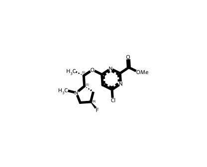 COC(=O)c1nc(Cl)cc(O[C@@H](C)[C@@H]2C[C@@H](F)CN2C)n1